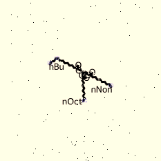 CCCC/C=C\C/C=C\CCCCCCCC(=O)OC[C@H](COC(=O)CCCCCCC/C=C\CCCCCCCCC)OC(=O)CCCCCCC/C=C\CCCCCCCC